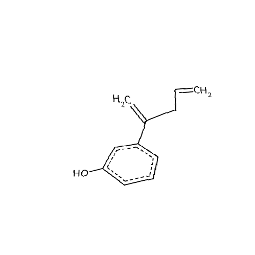 C=CCC(=C)c1cccc(O)c1